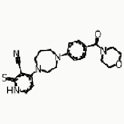 N#Cc1c(N2CCCN(c3ccc(C(=O)N4CCOCC4)cc3)CC2)cc[nH]c1=S